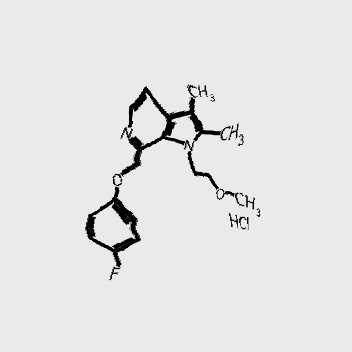 COCCn1c(C)c(C)c2ccnc(COc3ccc(F)cc3)c21.Cl